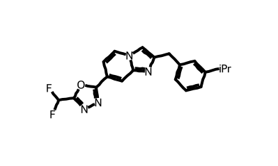 CC(C)c1cccc(Cc2cn3ccc(-c4nnc(C(F)F)o4)cc3n2)c1